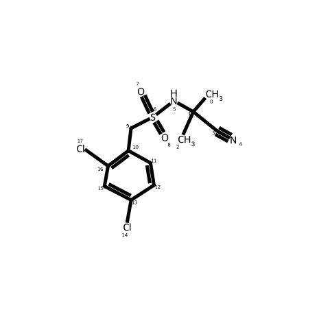 CC(C)(C#N)NS(=O)(=O)Cc1ccc(Cl)cc1Cl